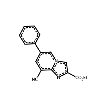 CCOC(=O)c1cn2cc(-c3ccccc3)cc(C#N)c2n1